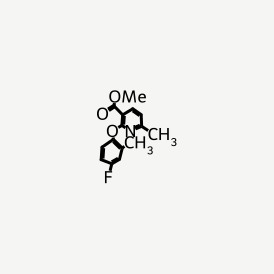 COC(=O)c1ccc(C)nc1Oc1ccc(F)cc1C